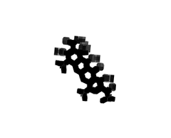 CN(C)C(=O)c1cc(N(C)C)c2c(c1O)C(=O)C1=C(O)C3C(CC1C2)C(N(C)C)C(O)=C(C(N)=O)C3(C)O